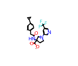 COC(=O)[C@@]1(NC(=O)Cc2ccc(C3CC3)cc2)CCN(c2cncc(C(F)(F)F)c2)C1